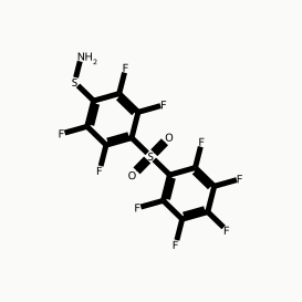 NSc1c(F)c(F)c(S(=O)(=O)c2c(F)c(F)c(F)c(F)c2F)c(F)c1F